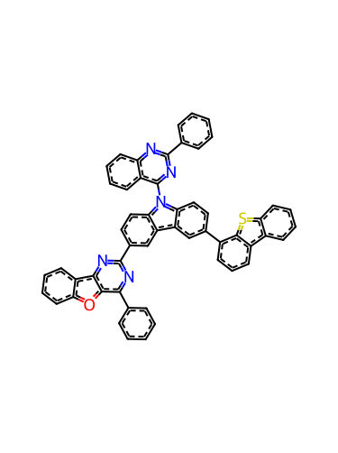 c1ccc(-c2nc(-n3c4ccc(-c5nc(-c6ccccc6)c6oc7ccccc7c6n5)cc4c4cc(-c5cccc6c5sc5ccccc56)ccc43)c3ccccc3n2)cc1